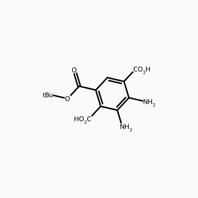 CC(C)(C)OC(=O)c1cc(C(=O)O)c(N)c(N)c1C(=O)O